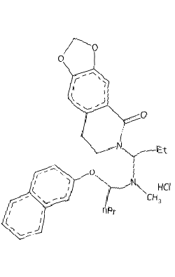 CCCC(Oc1ccc2ccccc2c1)N(C)C(CC)N1CCc2cc3c(cc2C1=O)OCO3.Cl